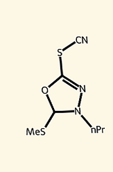 CCCN1N=C(SC#N)OC1SC